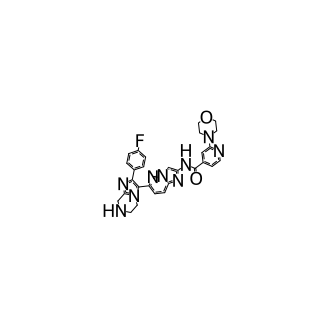 O=C(Nc1cn2nc(-c3c(-c4ccc(F)cc4)nc4n3CCNC4)ccc2n1)c1ccnc(N2CCOCC2)c1